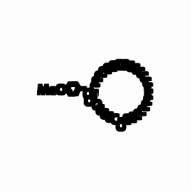 COc1ccc(CO[C@H]2CCCCCCCCCCCCCCCCCCCCCC(=O)CCCCOC2=O)cc1